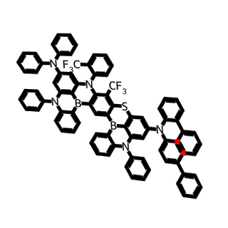 FC(F)(F)c1ccccc1N1c2cc(N(c3ccccc3)c3ccccc3)cc3c2B(c2ccccc2N3c2ccccc2)c2cc3c(c(C(F)(F)F)c21)Sc1cc(N(c2ccc(-c4ccccc4)cc2)c2ccccc2-c2ccccc2)cc2c1B3c1ccccc1N2c1ccccc1